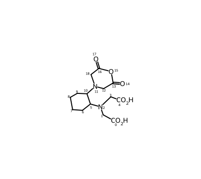 O=C(O)CN(CC(=O)O)C1CCCCC1N1CC(=O)OC(=O)C1